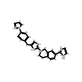 c1cnn(-c2ccc(Cc3cnc(N4CCc5ccc(-c6ncc[nH]6)cc5C4)s3)cc2)c1